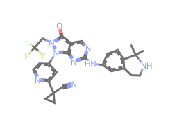 CC1(C)NCCc2cc(Nc3ncc4c(=O)n(CC(F)(F)F)n(-c5ccnc(C6(C#N)CC6)c5)c4n3)ccc21